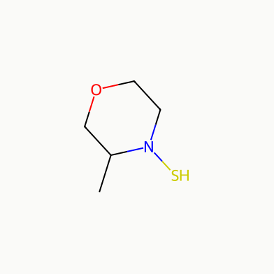 CC1COCCN1S